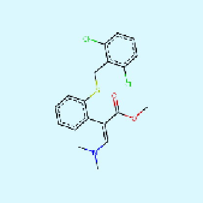 COC(=O)/C(=C/N(C)C)c1ccccc1SCc1c(Cl)cccc1Cl